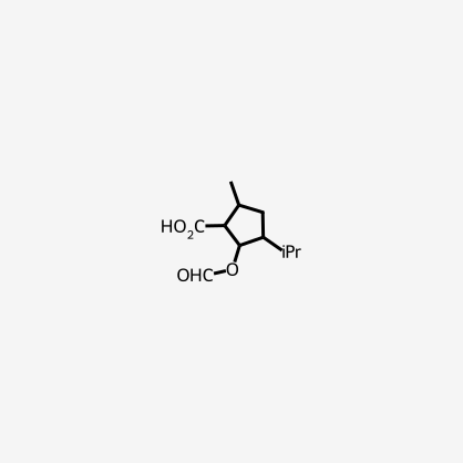 CC(C)C1CC(C)C(C(=O)O)C1OC=O